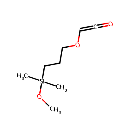 CO[Si](C)(C)CCCOC=C=O